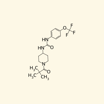 CC(C)(C)C(=O)N1CCC(NC(=O)Nc2ccc(OC(F)(F)F)cc2)CC1